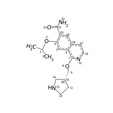 CC(C)Oc1cc2c(OC[C@@H]3CCNC3)nccc2cc1C(N)=O